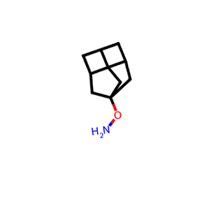 NOC12CC3CC4CC(C1)C43C2